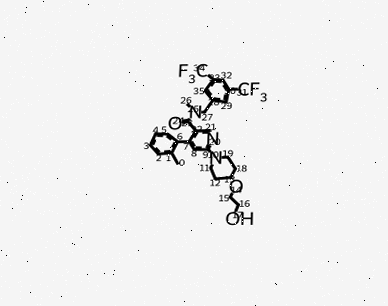 Cc1ccccc1-c1cc(N2CCC(OCCO)CC2)ncc1C(=O)N(C)Cc1cc(C(F)(F)F)cc(C(F)(F)F)c1